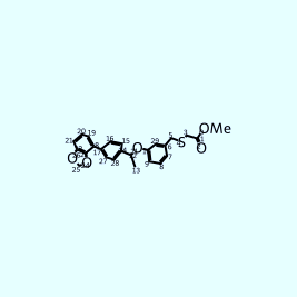 COC(=O)CSCc1cccc(OC(C)c2ccc(-c3cccc4c3OCO4)cc2)c1